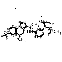 CC1Cc2c([C@H](C)Nc3nccc(N4C(=O)OC[C@@H]4[C@H](C)F)n3)ncn2-c2ccc(C(F)(F)F)cc21